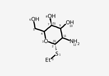 CCS[C@@H]1OC(CO)[C@@H](O)C(O)C1N